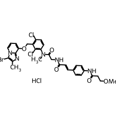 COCCC(=O)Nc1ccc(C=CC(=O)NCC(=O)N(C)c2ccc(Cl)c(COc3cccn4c(Br)c(C)nc34)c2Cl)cc1.Cl